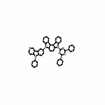 c1ccc(-c2nc(-c3ccccc3)nc(-n3c4ccccc4c4c5c6ccccc6n(-c6ccc7c(c6)c6cnccc6n7-c6ccccc6)c5ccc43)n2)cc1